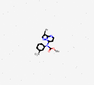 CC(C)c1cnn2c(N(C(=O)OC(C)(C)C)c3cccc([N+](=O)[O-])c3)ccnc12